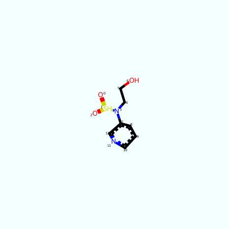 O=[SH](=O)N(CCO)c1cccnc1